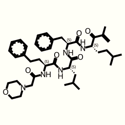 C=C(C)C(=O)[C@H](CCC(C)C)NC(=O)[C@H](Cc1ccccc1)NC(=O)[C@H](CC(C)C)NC(=O)[C@H](CCc1ccccc1)NC(=O)CN1CCOCC1